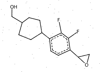 OCC1CCC(c2ccc(C3CO3)c(F)c2F)CC1